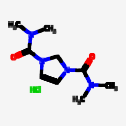 CN(C)C(=O)N1C=CN(C(=O)N(C)C)C1.Cl